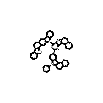 c1ccc(-n2c3ccc(-c4nc(-n5c6ccccc6c6cc7ccc8c9ccccc9oc8c7cc65)c5sc6ccc7ccccc7c6c5n4)cc3c3c4ccccc4ccc32)cc1